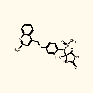 Cc1cc(COc2ccc(N(C3(C)NC(=O)NC3=O)S(C)(=O)=O)cc2)c2ccccc2n1